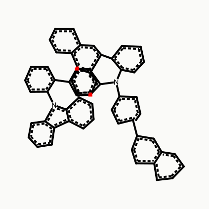 c1ccc(N(c2ccc(-c3ccc4ccccc4c3)cc2)c2ccc(-c3ccccc3-n3c4ccccc4c4ccccc43)cc2)c(-c2cc3ccccc3c3ccccc23)c1